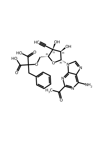 C#C[C@@]1(O)[C@@H](COC(Cc2ccccc2)(C(=O)O)C(=O)O)O[C@@H](n2cnc3c(N)nc(C(C)=O)nc32)[C@@H]1O